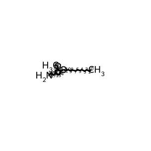 CCCCCCCCCCCCOc1ccc(CCN)cc1OC